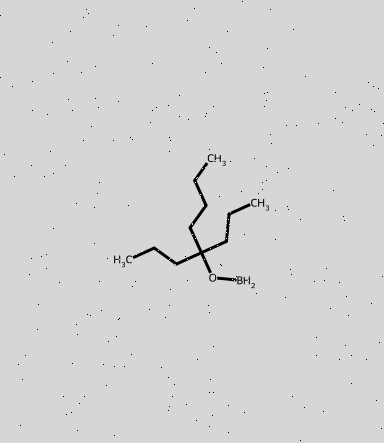 BOC(CCC)(CCC)CCCC